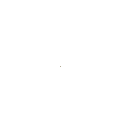 [Co].[Nd].[V].[Zr]